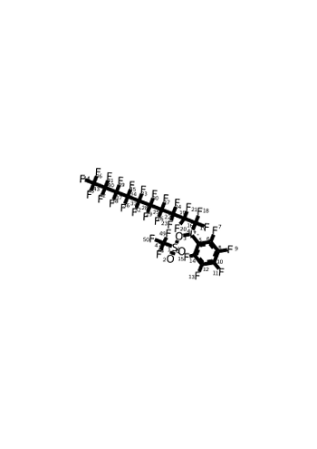 O=S(=O)(O[I+](c1c(F)c(F)c(F)c(F)c1F)C(F)(F)C(F)(F)C(F)(F)C(F)(F)C(F)(F)C(F)(F)C(F)(F)C(F)(F)C(F)(F)C(F)(F)F)C(F)(F)F